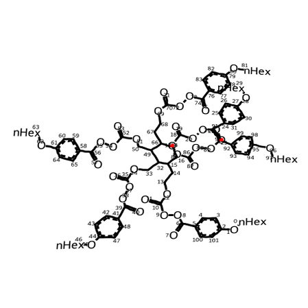 CCCCCCOc1ccc(C(=O)OOC(=O)OCCC(COC(=O)OOC(=O)c2ccc(OCCCCCC)cc2)C(COC(=O)OOC(=O)c2ccc(OCCCCCC)cc2)C(COC(=O)OOC(=O)c2ccc(OCCCCCC)cc2)C(CCOC(=O)OOC(=O)c2ccc(OCCCCCC)cc2)COC(=O)OOC(=O)c2ccc(OCCCCCC)cc2)cc1